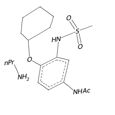 CC(=O)Nc1ccc(OC2CCCCC2)c(NS(C)(=O)=O)c1.CCCN